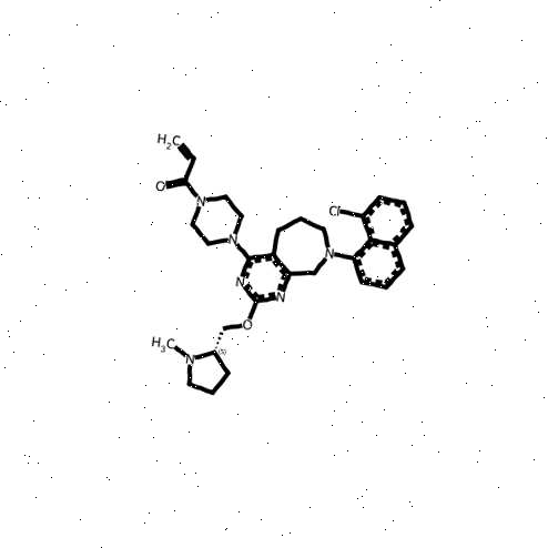 C=CC(=O)N1CCN(c2nc(OC[C@@H]3CCCN3C)nc3c2CCCN(c2cccc4cccc(Cl)c24)C3)CC1